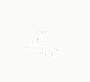 Cc1ccc(Nc2ccc(N)cc2S(=O)(=O)O)cc1N